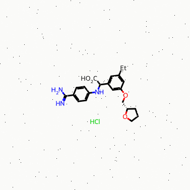 CCc1cc(OC[C@@H]2CCCO2)cc(C(Nc2ccc(C(=N)N)cc2)C(=O)O)c1.Cl